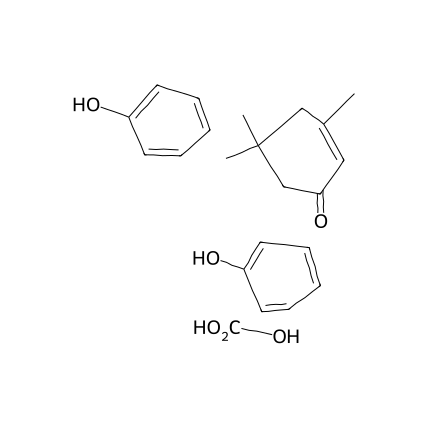 CC1=CC(=O)CC(C)(C)C1.O=C(O)O.Oc1ccccc1.Oc1ccccc1